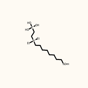 [CH2]C[N+](C[CH2])(CCCCCCCCCCCCCCCCCC)CC[P-](O)(O)O